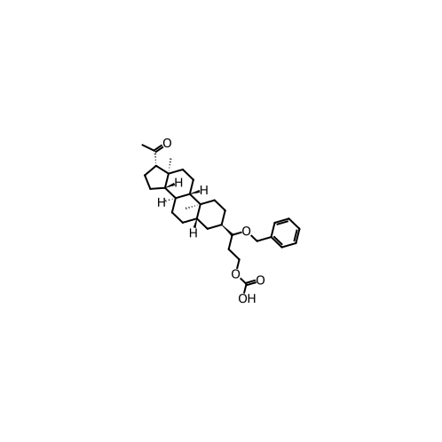 CC(=O)[C@H]1CC[C@H]2[C@@H]3CC[C@H]4C[C@H](C(CCOC(=O)O)OCc5ccccc5)CC[C@]4(C)[C@H]3CC[C@]12C